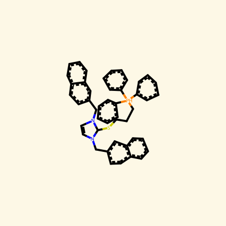 C1=CN(Cc2ccc3ccccc3c2)C(SCCC[PH](c2ccccc2)(c2ccccc2)c2ccccc2)N1Cc1ccc2ccccc2c1